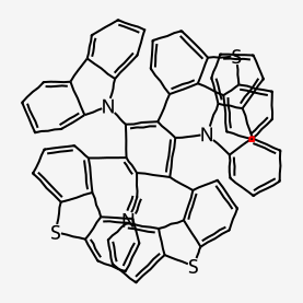 N#Cc1c(-c2cccc3sc4ccccc4c23)c(-n2c3ccccc3c3ccccc32)c(-c2cccc3sc4ccccc4c23)c(-n2c3ccccc3c3ccccc32)c1-c1cccc2sc3ccccc3c12